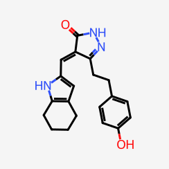 O=C1NN=C(CCc2ccc(O)cc2)/C1=C\c1cc2c([nH]1)CCCC2